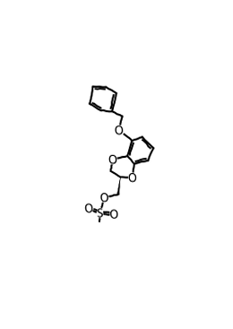 CS(=O)(=O)OC[C@H]1COc2c(OCc3ccccc3)cccc2O1